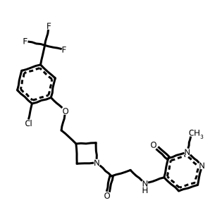 Cn1nccc(NCC(=O)N2CC(COc3cc(C(F)(F)F)ccc3Cl)C2)c1=O